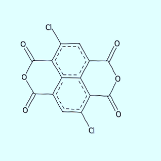 O=C1OC(=O)c2c(Cl)cc3c4c(c(Cl)cc1c24)C(=O)OC3=O